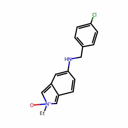 CC[N+]1([O-])C=c2ccc(NCc3ccc(Cl)cc3)cc2=C1